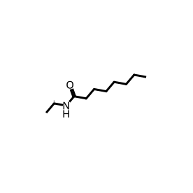 C[CH]NC(=O)CCCCCCC